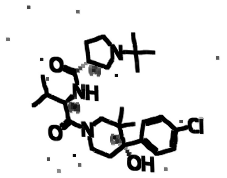 CC(C)[C@@H](NC(=O)[C@@H]1CCN(C(C)(C)C)C1)C(=O)N1CC[C@](O)(c2ccc(Cl)cc2)C(C)(C)C1